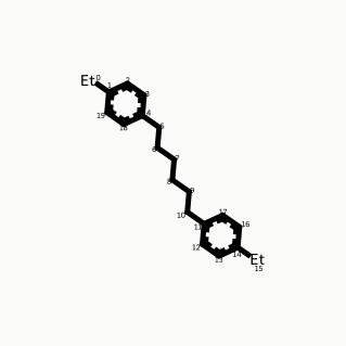 CCc1ccc(CCCCCCc2ccc(CC)cc2)cc1